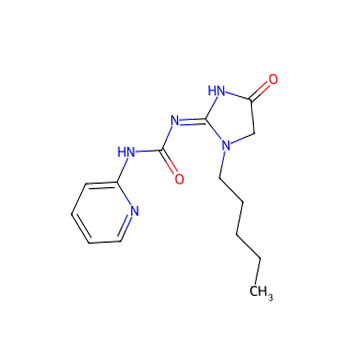 CCCCCN1CC(=O)NC1=NC(=O)Nc1ccccn1